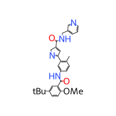 COc1ccc(C(C)(C)C)cc1C(=O)Nc1ccc(C)c(C2=NCC(C(=O)NCc3cccnc3)=C2)c1